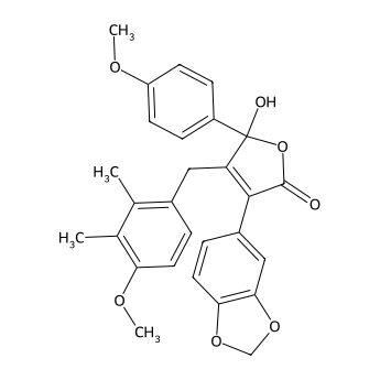 COc1ccc(C2(O)OC(=O)C(c3ccc4c(c3)OCO4)=C2Cc2ccc(OC)c(C)c2C)cc1